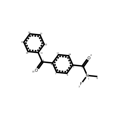 CN(F)C(=O)c1ccc(C(=O)c2ccccc2)cc1